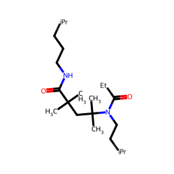 CCC(=O)N(CCC(C)C)C(C)(C)CC(C)(C)C(=O)NCCCC(C)C